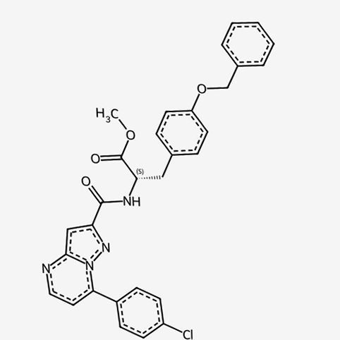 COC(=O)[C@H](Cc1ccc(OCc2ccccc2)cc1)NC(=O)c1cc2nccc(-c3ccc(Cl)cc3)n2n1